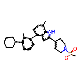 Cc1c(-c2ccc(C)c3[nH]c(C4=CCN(S(C)(=O)=O)CC4)cc23)cccc1C1CCCCC1